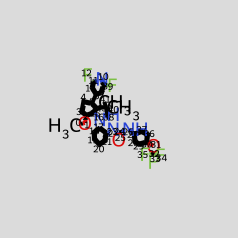 COc1ccc(-c2cc(F)nc(F)c2)c2c1N(c1ccccc1NC(=O)Nc1ccc(OC(F)(F)F)cc1)CC2(C)C